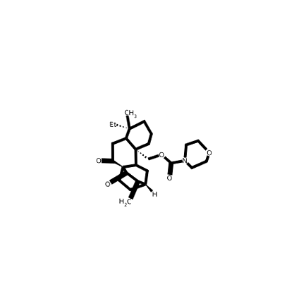 C=C1C(=O)[C@]23CC[C@H]1CC2[C@]1(COC(=O)N2CCOCC2)CCC[C@@](C)(CC)C1CC3=O